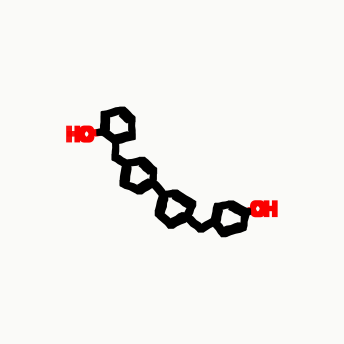 Oc1ccc(Cc2ccc(-c3ccc(Cc4ccccc4O)cc3)cc2)cc1